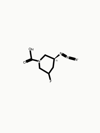 [N-]=[N+]=N[C@H]1CC(F)CN(C(=O)O)C1